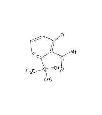 C[Si](C)(C)c1cccc(Cl)c1C(=O)S